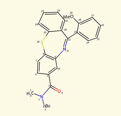 CCCCN(C)C(=O)c1ccc2c(c1)N=C(c1ccccc1OC)c1ccccc1S2